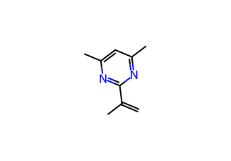 C=C(C)c1nc(C)cc(C)n1